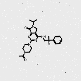 CC(=O)N1CCN(c2nc(NCC(C)(C)c3ccccc3)c3c(n2)C(=O)N(C(C)C)C3)CC1